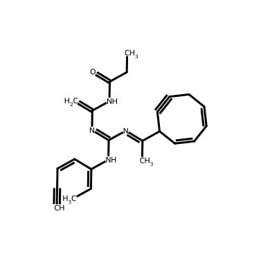 C#C/C=C\C(=C/C)NC(=N/C(=C)NC(=O)CC)/N=C(\C)C1C#CC/C=C\C=C/1